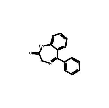 O=C1[C]N=C(c2ccccc2)c2ccccc2N1